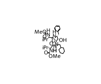 COC(=O)N[C@H](C(=O)N[C@H](Cc1ccccc1)[C@H](O)CN(CC1CCCCC1)NC(=O)[C@@H](NC(=O)OC)C(C)C)C(C)C